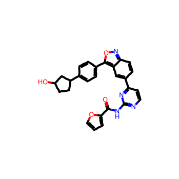 O=C(Nc1nccc(-c2ccc3noc(-c4ccc(C5CCC(O)C5)cc4)c3c2)n1)c1ccco1